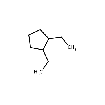 CC[C]1CCCC1CC